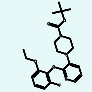 CCOc1cccc(F)c1Oc1ncccc1N1CCN(C(=O)OC(C)(C)C)CC1